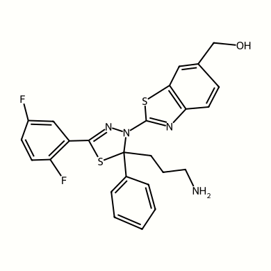 NCCCC1(c2ccccc2)SC(c2cc(F)ccc2F)=NN1c1nc2ccc(CO)cc2s1